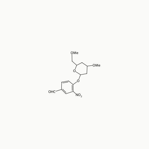 COCC1CC(OC)CC(Oc2ccc(C=O)cc2[N+](=O)[O-])O1